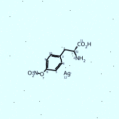 N[C@@H](Cc1ccc(O[N+](=O)[O-])cc1)C(=O)O.[Ag]